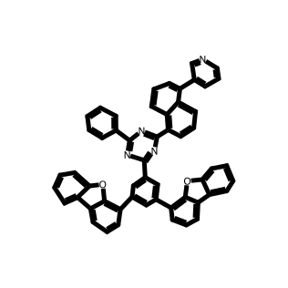 c1ccc(-c2nc(-c3cc(-c4cccc5c4oc4ccccc45)cc(-c4cccc5c4oc4ccccc45)c3)nc(-c3cccc4c(-c5cccnc5)cccc34)n2)cc1